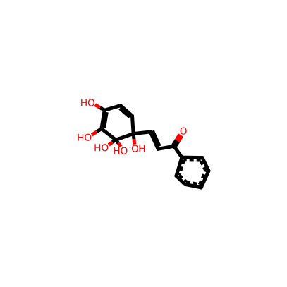 O=C(C=CC1(O)C=CC(O)=C(O)C1(O)O)c1ccccc1